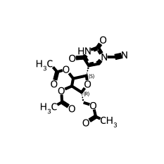 CC(=O)OC[C@H]1O[C@@H](c2cn(C#N)c(=O)[nH]c2=O)C(OC(C)=O)C1OC(C)=O